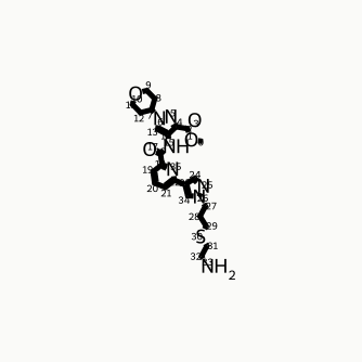 COC(=O)c1nn(C2CCOCC2)cc1NC(=O)c1cccc(-c2cnn(CCCSCCN)c2)n1